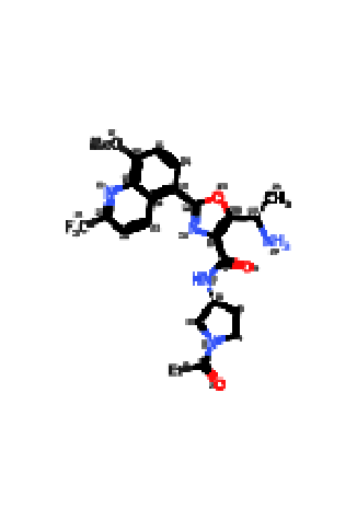 CCC(=O)N1CC[C@@H](NC(=O)c2nc(-c3ccc(OC)c4nc(C(F)(F)F)ccc34)oc2[C@H](C)N)C1